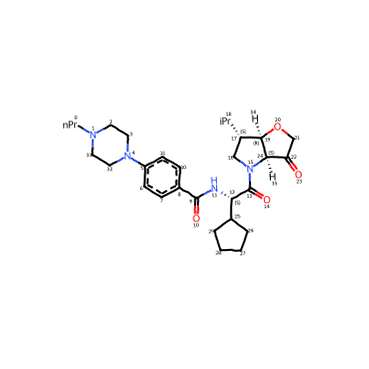 CCCN1CCN(c2ccc(C(=O)N[C@H](C(=O)N3C[C@H](C(C)C)[C@H]4OCC(=O)[C@H]43)C3CCCC3)cc2)CC1